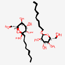 CCCCCCCCC1(O)O[C@H](CO)[C@@H](O)[C@H](O)[C@H]1O.CCCCCCCCOC1O[C@H](CO)[C@@H](O)[C@H](O)[C@H]1O